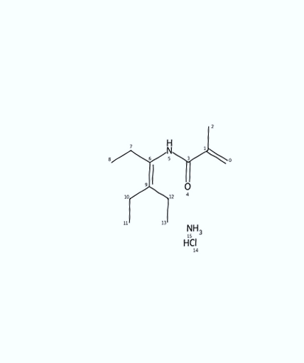 C=C(C)C(=O)NC(CC)=C(CC)CC.Cl.N